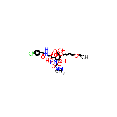 C#CCOCCCCCCO[C@]1(C(=O)O)C[C@H](O)[C@@H](NC(=O)C(=O)NC)[C@H]([C@H](O)[C@H](O)CNC(=O)Cc2ccc(Cl)cc2)O1